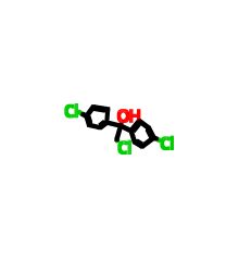 OC(CCl)(c1ccc(Cl)cc1)c1ccc(Cl)cc1